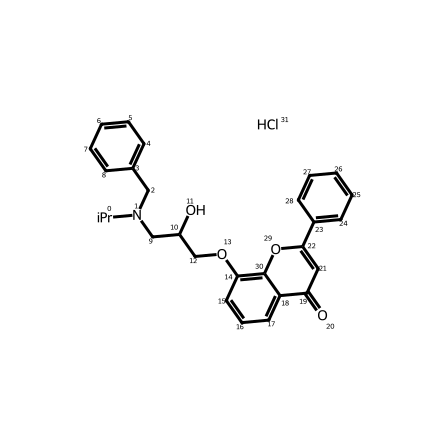 CC(C)N(Cc1ccccc1)CC(O)COc1cccc2c(=O)cc(-c3ccccc3)oc12.Cl